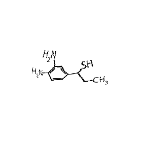 CCC(S)c1ccc(N)c(N)c1